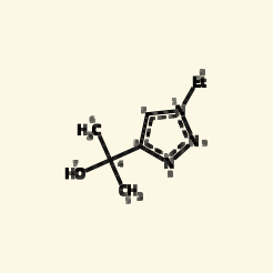 CCn1cc(C(C)(C)O)nn1